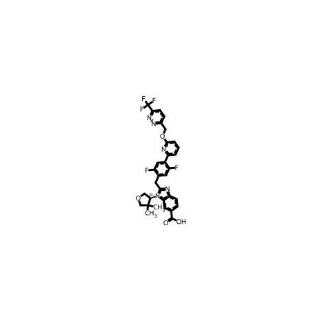 CC1(C)COC[C@H]1n1c(Cc2cc(F)c(-c3cccc(OCc4ccc(C(F)(F)F)nn4)n3)cc2F)nc2ccc(C(=O)O)cc21